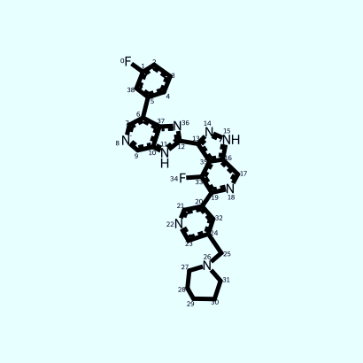 Fc1cccc(-c2cncc3[nH]c(-c4n[nH]c5cnc(-c6cncc(CN7CCCCC7)c6)c(F)c45)nc23)c1